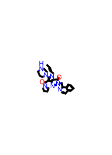 CC#CCn1c(N2CCCNCC2)c(C(=O)N2CCCC2)c2ncn(Cc3nccc4ccccc34)c(=O)c21